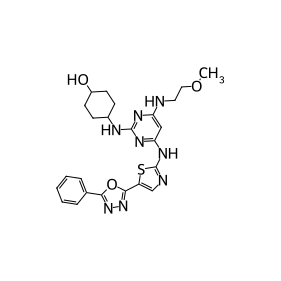 COCCNc1cc(Nc2ncc(-c3nnc(-c4ccccc4)o3)s2)nc(NC2CCC(O)CC2)n1